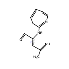 CC(=N)/C=C(/C=O)NC1=NC=CC=CC1